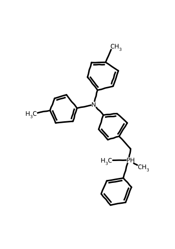 Cc1ccc(N(c2ccc(C)cc2)c2ccc(C[PH](C)(C)c3ccccc3)cc2)cc1